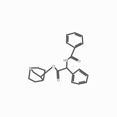 O=C(NC(C(=O)OC1CN2CCC1CC2)c1ccccc1)c1ccccc1